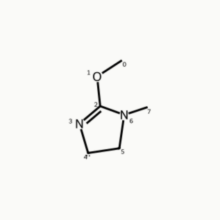 COC1=N[C]CN1C